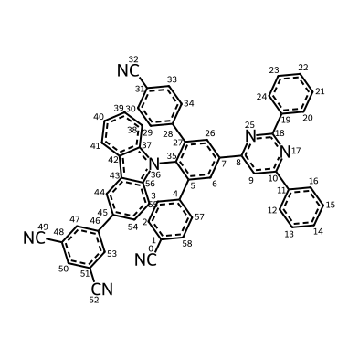 N#Cc1ccc(-c2cc(-c3cc(-c4ccccc4)nc(-c4ccccc4)n3)cc(-c3ccc(C#N)cc3)c2-n2c3ccccc3c3cc(-c4cc(C#N)cc(C#N)c4)ccc32)cc1